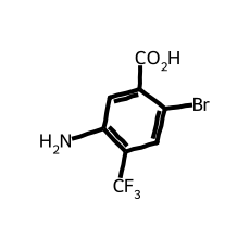 Nc1cc(C(=O)O)c(Br)cc1C(F)(F)F